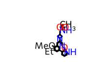 CCc1cc(-c2ccc[nH]c2=O)c2ncc(N3CC(CNS(C)(=O)=O)C3)cc2c1OC